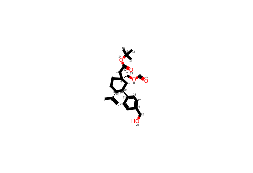 C=C(C)[C@@H]1CC[C@@](COC=O)(CC(=O)OC(C)(C)C)C[C@H]1c1ccc(CO)cc1